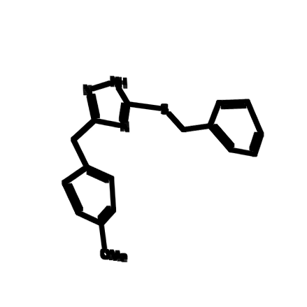 COc1ccc(Cc2n[nH]c(SCc3ccccc3)n2)cc1